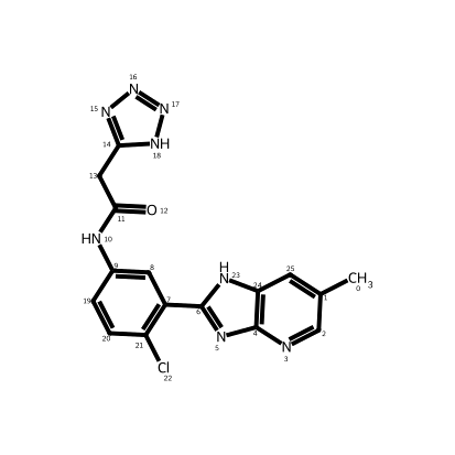 Cc1cnc2nc(-c3cc(NC(=O)Cc4nnn[nH]4)ccc3Cl)[nH]c2c1